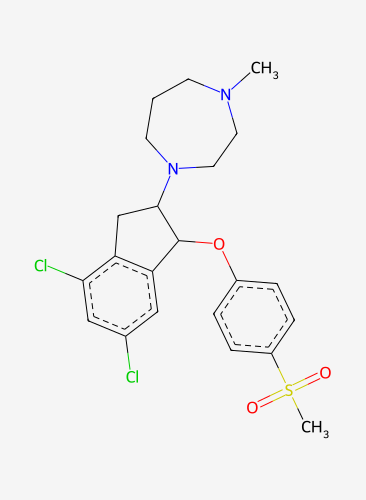 CN1CCCN(C2Cc3c(Cl)cc(Cl)cc3C2Oc2ccc(S(C)(=O)=O)cc2)CC1